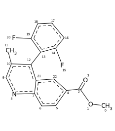 COC(=O)c1ccc2ncc(C)c(-c3c(F)cccc3F)c2c1